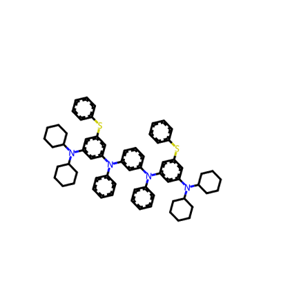 c1ccc(Sc2cc(N(c3ccccc3)c3cccc(N(c4ccccc4)c4cc(Sc5ccccc5)cc(N(C5CCCCC5)C5CCCCC5)c4)c3)cc(N(C3CCCCC3)C3CCCCC3)c2)cc1